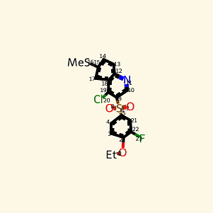 CCOc1ccc(S(=O)(=O)c2cnc3ccc(SC)cc3c2Cl)cc1F